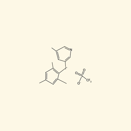 Cc1cncc([I+]c2c(C)cc(C)cc2C)c1.O=S(=O)([O-])C(F)(F)F